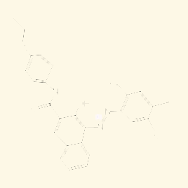 CCOc1ccc(NC(=O)c2cc3ccccc3c(/N=N/c3cc(Cl)c(Cl)cc3Cl)c2O)cc1